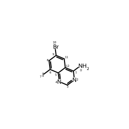 Nc1ncnc2c(I)cc(Br)cc12